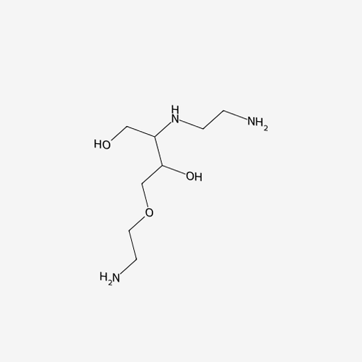 NCCNC(CO)C(O)COCCN